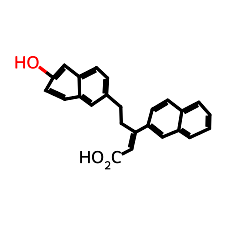 O=C(O)/C=C(\CCc1ccc2cc(O)ccc2c1)c1ccc2ccccc2c1